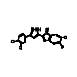 Fc1cc2nc(-c3cc(-c4ccc(Cl)c(Cl)c4)n[nH]3)[nH]c2cc1Cl